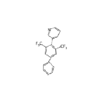 FC(F)(F)c1cc(-c2cc[c]cc2)cc(C(F)(F)F)c1-c1cccnc1